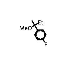 CCC(C)(OC)c1ccc(F)cc1